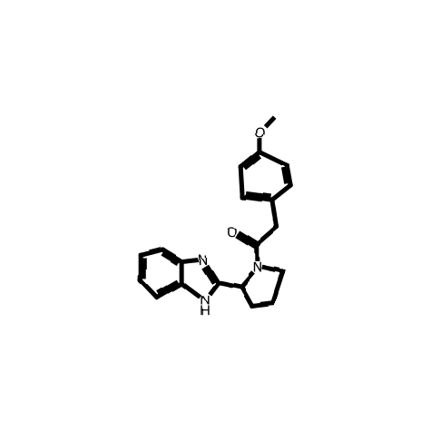 COc1ccc(CC(=O)N2CCCC2c2nc3ccccc3[nH]2)cc1